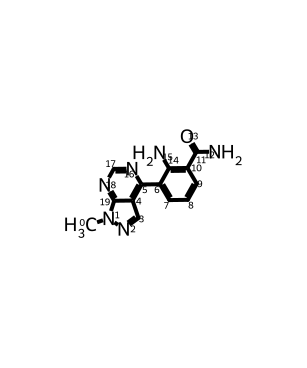 Cn1ncc2c(-c3cccc(C(N)=O)c3N)ncnc21